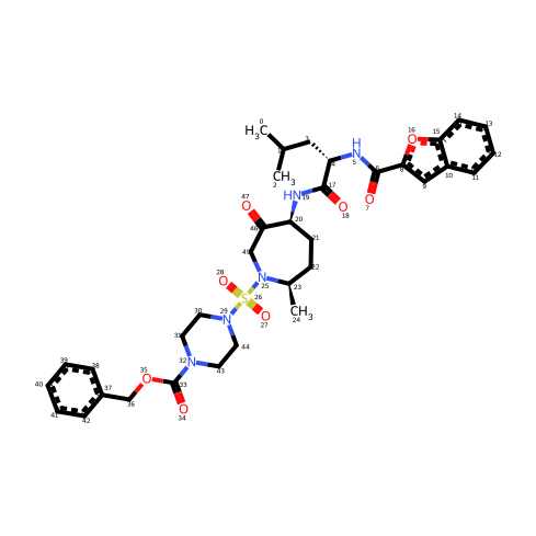 CC(C)C[C@H](NC(=O)c1cc2ccccc2o1)C(=O)N[C@H]1CC[C@@H](C)N(S(=O)(=O)N2CCN(C(=O)OCc3ccccc3)CC2)CC1=O